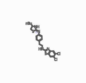 CCCCC1CS/C(=N\c2ccc(CCNc3nc4cc(Cl)c(Cl)cc4s3)cc2)N1